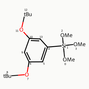 CO[Si](OC)(OC)c1cc(OC(C)(C)C)cc(OC(C)(C)C)c1